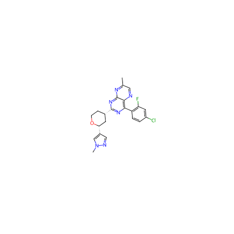 Cc1cnc2c(-c3ccc(Cl)cc3F)nc([C@H]3CCO[C@@H](c4cnn(C)c4)C3)nc2n1